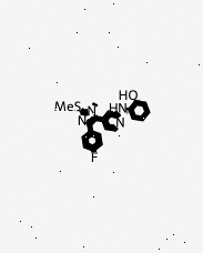 CSc1nc(-c2ccc(F)cc2)c(-c2ccnc(N[C@@H]3CCCC[C@H]3O)c2)n1C